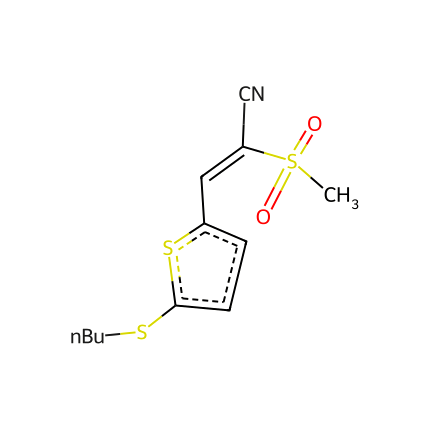 CCCCSc1ccc(C=C(C#N)S(C)(=O)=O)s1